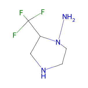 NN1CCNCC1C(F)(F)F